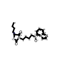 CCC/C=C1/SC(=O)N(CCCC[S+]([O-])c2cccc3nccn23)C1=O